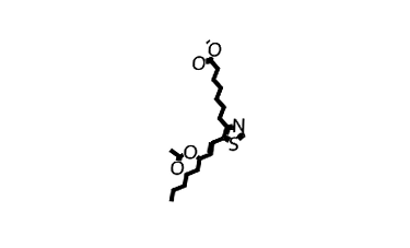 CCCCCC(C=Cc1scnc1CCCCCCC(=O)OC)OC(C)=O